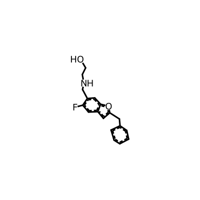 OCCNCc1cc2oc(Cc3ccccc3)cc2cc1F